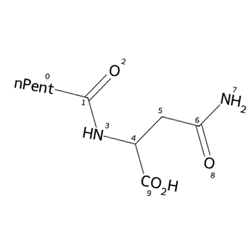 CCCCCC(=O)NC(CC(N)=O)C(=O)O